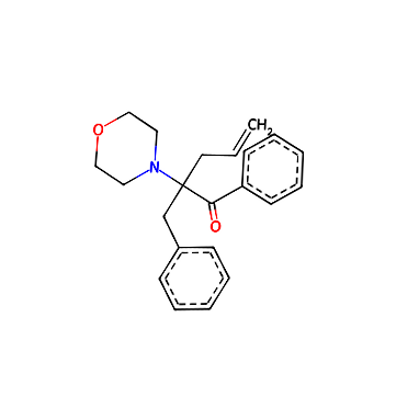 C=CCC(Cc1ccccc1)(C(=O)c1ccccc1)N1CCOCC1